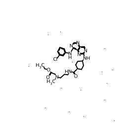 CCOC(=O)CN(C)CCCNC(=O)C1CCC(Nc2ncc3ncnc(Nc4cccc(Cl)c4)c3n2)CC1